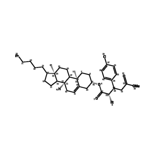 CC[C@H](C(=O)O[C@H]1CC[C@@]2(C)C(=CC[C@H]3C4CCC(CCCCC(C)C)[C@@]4(C)CCC32)C1)N(CC(=O)OC)c1ccc(Cl)cc1